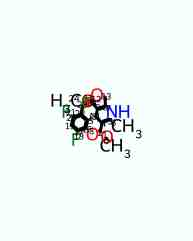 COC(=O)C1=C(C)NC2=C(C(=O)OC2)[C@H]1c1cc(F)cc(F)c1C(C)F